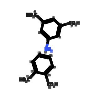 Nc1cc(C(=O)O)cc(C(=O)O)c1.O=C(O)c1ccccc1C(=O)O